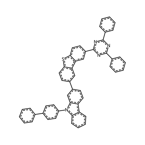 c1ccc(-c2ccc(-n3c4ccccc4c4ccc(-c5ccc6sc7ccc(-c8nc(-c9ccccc9)nc(-c9ccccc9)n8)cc7c6c5)cc43)cc2)cc1